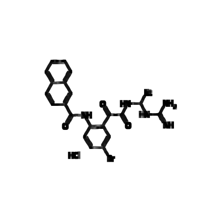 CCC(NC(=N)N)NC(=O)C(=O)c1cc(Br)ccc1NC(=O)c1ccc2ccccc2c1.Cl